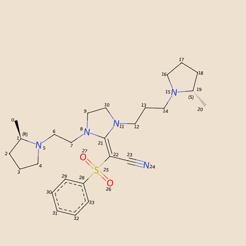 C[C@@H]1CCCN1CCN1CCN(CCCN2CCC[C@@H]2C)C1=C(C#N)S(=O)(=O)c1ccccc1